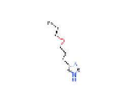 CC(C)CCOCCCc1c[nH]cn1